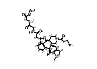 CC(=O)CCC(=O)N1CCC(c2nn(CC(=O)NCC(=O)NCC(=O)OC(C)(C)C)c3cccc(-c4ccc5cnn(C)c5c4F)c23)CC1